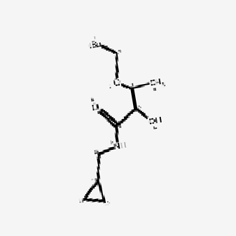 CC(OCC(C)(C)C)C(O)C(=O)NCC1CC1